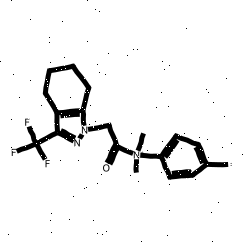 [CH]c1ccc([N+](C)(C)C(=O)Cn2nc(C(F)(F)F)c3c2CCCC3)cc1